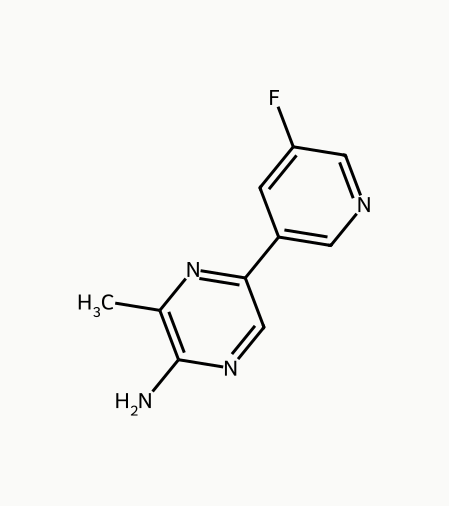 Cc1nc(-c2cncc(F)c2)cnc1N